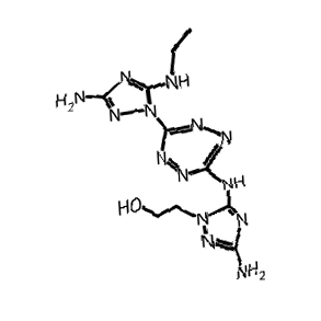 CCNc1nc(N)nn1-c1nnc(Nc2nc(N)nn2CCO)nn1